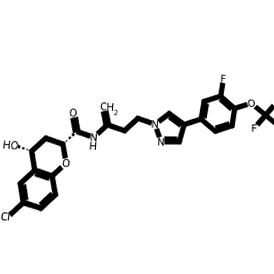 C=C(CCn1cc(-c2ccc(OC(F)(F)F)c(F)c2)cn1)NC(=O)[C@H]1C[C@@H](O)c2cc(Cl)ccc2O1